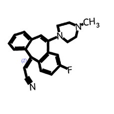 CN1CCN(C2=Cc3ccccc3/C(=C/C#N)c3ccc(F)cc32)CC1